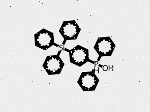 O[PH](c1ccccc1)(c1ccccc1)c1ccc([Si](c2ccccc2)(c2ccccc2)c2ccccc2)cc1